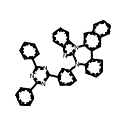 c1ccc(-c2nc(-c3ccccc3)nc(-c3cccc(N4c5ccccc5-c5cc6ccccc6cc5-n5c4nc4ccccc45)c3)n2)cc1